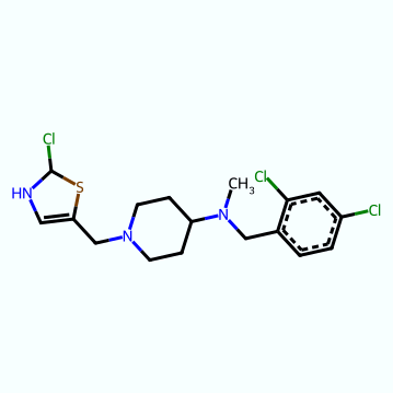 CN(Cc1ccc(Cl)cc1Cl)C1CCN(CC2=CNC(Cl)S2)CC1